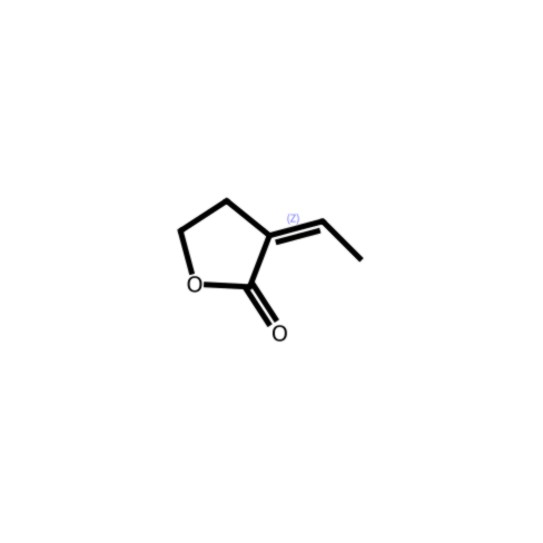 C/C=C1/CCOC1=O